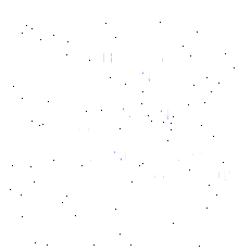 CN(C)c1nc(NC(=O)Cc2cccs2)c(C(=O)OC(C)(C)C)n1-c1ccccc1